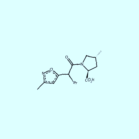 Cc1cc(C(C(=O)N2C[C@H](C)C[C@H]2C(=O)O)C(C)C)on1